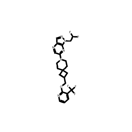 FC(F)Cn1ncc2ncc(N3CCC4(CC3)CC(COc3ncccc3C(F)(F)F)C4)nc21